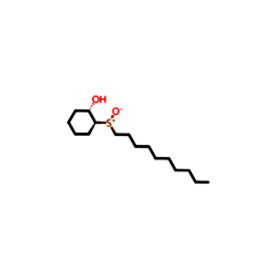 CCCCCCCCCC[S@+]([O-])[C@H]1CCCC[C@@H]1O